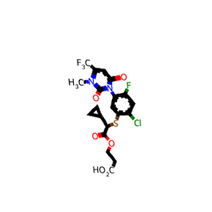 Cn1c(C(F)(F)F)cc(=O)n(-c2cc(SC(C(=O)OCCC(=O)O)C3CC3)c(Cl)cc2F)c1=O